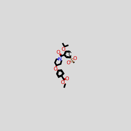 CCOC(=O)c1ccc(OC2CCN(C(=O)c3cc(S(C)(=O)=O)ccc3OC(C)C)CC2)cc1